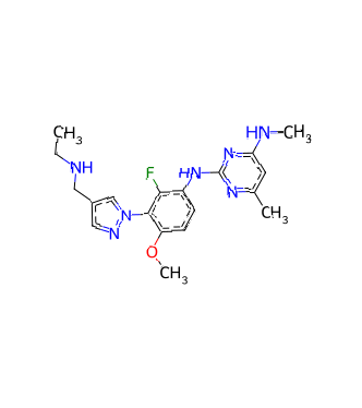 CCNCc1cnn(-c2c(OC)ccc(Nc3nc(C)cc(NC)n3)c2F)c1